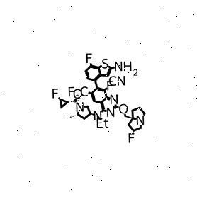 CCN(c1nc(OC[C@@]23CCCN2C[C@H](F)C3)nc2c(F)c(-c3ccc(F)c4sc(N)c(C#N)c34)c(C(F)(F)F)cc12)[C@H]1C[C@H](C)N(C(=O)[C@@H]2C[C@H]2F)C1